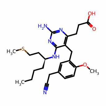 CCCC[C@@H](CCSC)Nc1nc(N)nc(CCC(=O)O)c1Cc1cc(CC#N)ccc1OC